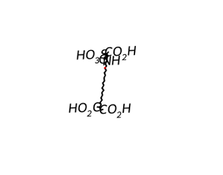 O=C(O)CC(CCCCCCCCCCCCCCCCCCNC(=O)CC(C(=O)O)S(=O)(=O)O)C(=O)O